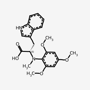 COc1cc(OC)c(N(C)[C@@H](Cc2c[nH]c3ccccc23)C(=O)O)c(OC)c1